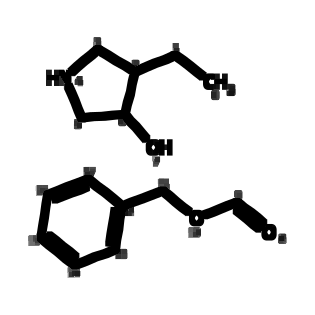 CCC1CNCC1O.O=COCc1ccccc1